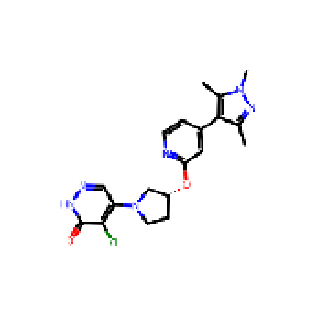 Cc1nn(C)c(C)c1-c1ccnc(O[C@@H]2CCN(c3cn[nH]c(=O)c3Cl)C2)c1